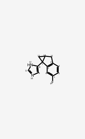 Fc1ccc2c(c1)C1(c3cnc[nH]3)CC1C2